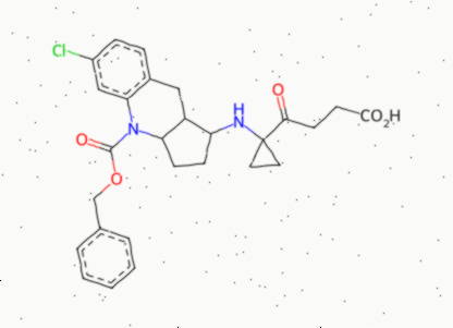 O=C(O)CCC(=O)C1(NC2CCC3C2Cc2ccc(Cl)cc2N3C(=O)OCc2ccccc2)CC1